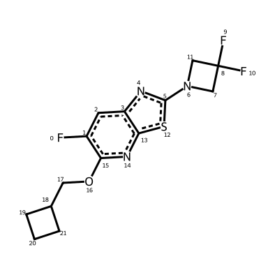 Fc1cc2nc(N3CC(F)(F)C3)sc2nc1OCC1CCC1